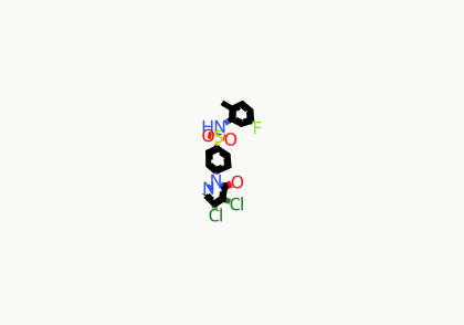 Cc1ccc(F)cc1NS(=O)(=O)c1ccc(-n2ncc(Cl)c(Cl)c2=O)cc1